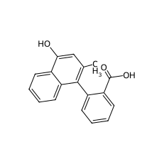 Cc1cc(O)c2ccccc2c1-c1ccccc1C(=O)O